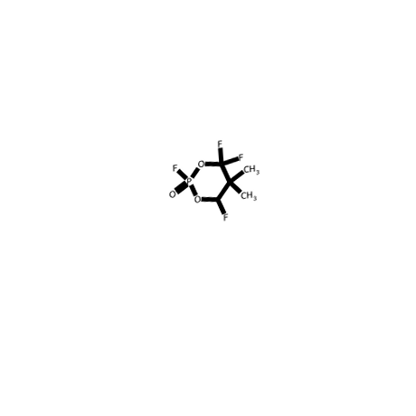 CC1(C)C(F)OP(=O)(F)OC1(F)F